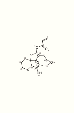 C=CC(=O)OCCC1(C(=O)OCC2CO2)CCCCC1C(=O)O